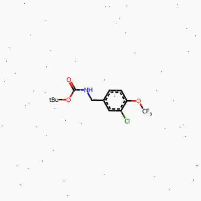 CC(C)(C)OC(=O)NCc1ccc(OC(F)(F)F)c(Cl)c1